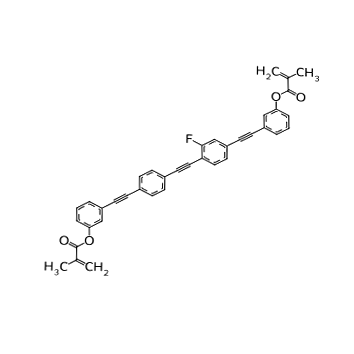 C=C(C)C(=O)Oc1cccc(C#Cc2ccc(C#Cc3ccc(C#Cc4cccc(OC(=O)C(=C)C)c4)cc3F)cc2)c1